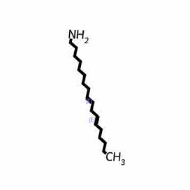 CCCCC/C=C/C/C=C/CCCCCCCCN